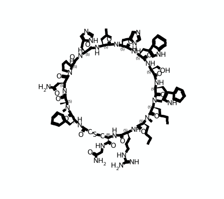 CCCC[C@H]1C(=O)N(C)[C@@H](CCCC)C(=O)N[C@@H](CCCNC(=N)N)C(=O)N[C@H](C(=O)NCC(N)=O)CSCC(=O)N[C@@H](Cc2ccccc2)C(=O)N(C)[C@@H](C)C(=O)N[C@@H](CC(N)=O)C(=O)N2CCC[C@H]2C(=O)N[C@@H](Cc2cnc[nH]2)C(=O)N[C@@H](CC(C)C)C(=O)N[C@@H](Cc2cnc[nH]2)C(=O)N[C@@H](Cc2c[nH]c3ccccc23)C(=O)N[C@@H](CO)C(=O)N[C@@H](Cc2c[nH]c3ccccc23)C(=O)N1C